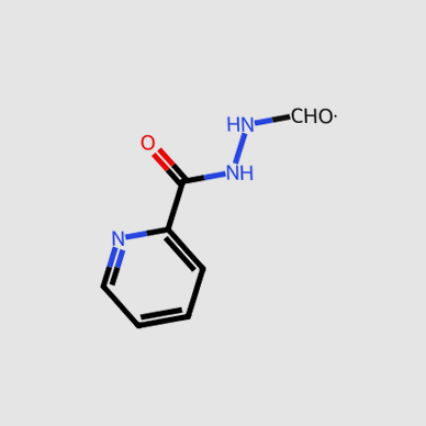 O=[C]NNC(=O)c1ccccn1